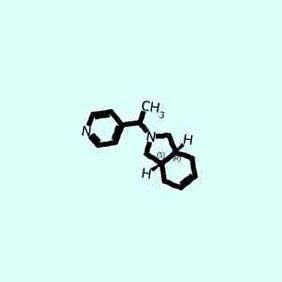 CC(c1ccncc1)N1C[C@H]2CC=CC[C@H]2C1